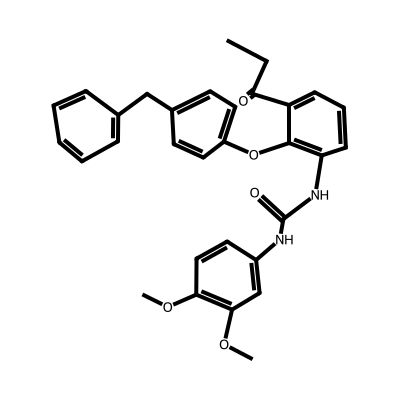 CCC(=O)c1cccc(NC(=O)Nc2ccc(OC)c(OC)c2)c1Oc1ccc(Cc2ccccc2)cc1